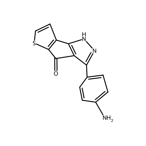 Nc1ccc(-c2n[nH]c3c2C(=O)c2sccc2-3)cc1